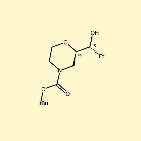 CC[C@@H](O)[C@H]1CN(C(=O)OC(C)(C)C)CCO1